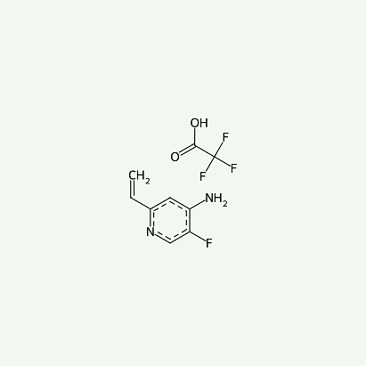 C=Cc1cc(N)c(F)cn1.O=C(O)C(F)(F)F